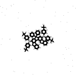 CC(C)(C)c1ccc(N(c2ccc(C(C)(C)C)cc2)c2cc3c(c4c2Cc2ccccc2-4)-c2c(cc(N(c4ccc(C(C)(C)C)cc4)c4ccc(C(C)(C)C)cc4)c4c2Cc2ccccc2-4)C3(c2ccccc2)c2ccccc2)cc1